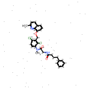 Cc1ccc2cccc(OCc3c(Cl)ccc(N(C)C(=O)CNC(=O)CCCc4ccccc4)c3Cl)c2n1